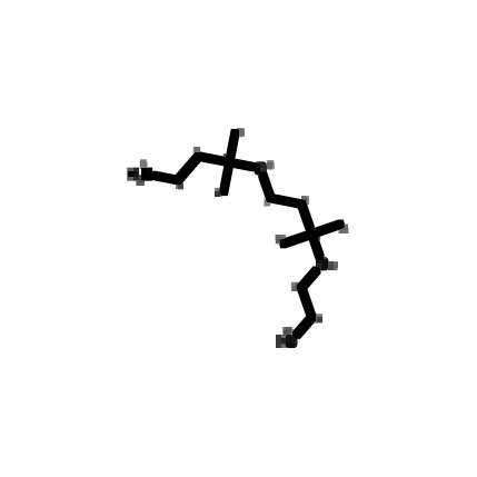 CC(C)(CCN)OCCC(C)(C)OCCO